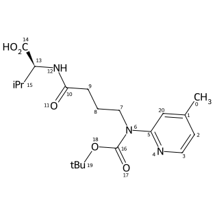 Cc1ccnc(N(CCCC(=O)N[C@H](C(=O)O)C(C)C)C(=O)OC(C)(C)C)c1